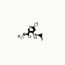 COC(=O)c1cnc(Cl)cc1N[C@H]1C[C@H]1F